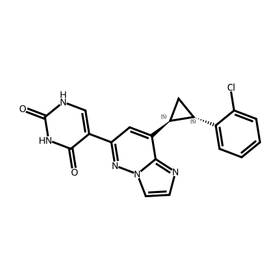 O=c1[nH]cc(-c2cc([C@H]3C[C@@H]3c3ccccc3Cl)c3nccn3n2)c(=O)[nH]1